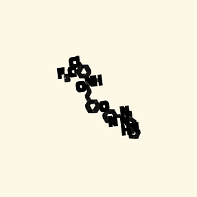 O=C(CCc1cccc(Oc2ccnc(-c3ncc(CN4CCCC4)[nH]3)c2)c1)Nc1ccc(Cl)c(C(F)(F)F)c1